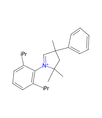 CC(C)c1cccc(C(C)C)c1[N+]1=CC(C)(c2ccccc2)CC1(C)C